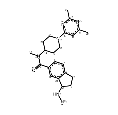 CCCNC1CCc2ccc(C(=O)N(C)C3CCN(c4cc(C)nc(C)n4)CC3)cc21